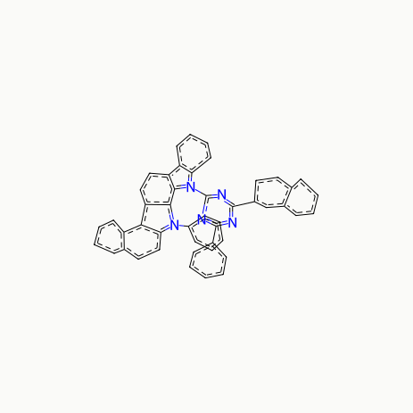 c1ccc(-c2nc(-c3ccc4ccccc4c3)nc(-n3c4ccccc4c4ccc5c6c7ccccc7ccc6n(-c6ccccc6)c5c43)n2)cc1